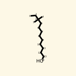 CCC(C)(C)CCCCCCCCCO